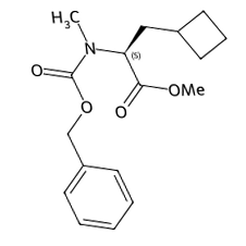 COC(=O)[C@H](CC1CCC1)N(C)C(=O)OCc1ccccc1